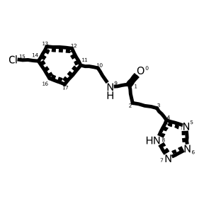 O=C(CCc1nnn[nH]1)NCc1ccc(Cl)cc1